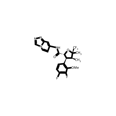 COc1c([C@H]2[C@H](C(=O)Nc3ccn4cnnc4c3)O[C@@](C)(C(F)(F)F)[C@H]2C)ccc(F)c1F